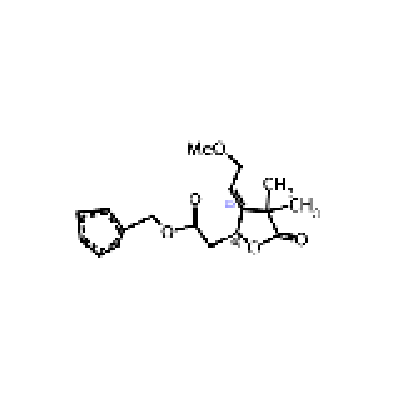 COC/C=C1/[C@H](CC(=O)OCc2ccccc2)OC(=O)C1(C)C